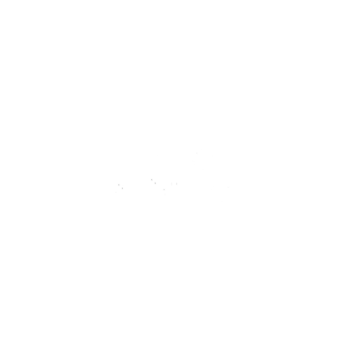 Cl.NC1CC(C(=O)O)CN(C(=O)OCC2c3ccccc3-c3ccccc32)C1